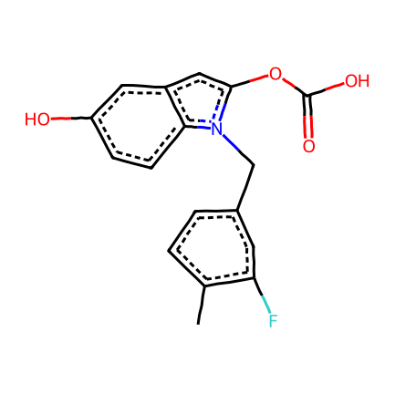 Cc1ccc(Cn2c(OC(=O)O)cc3cc(O)ccc32)cc1F